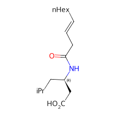 CCCCCCC=CCC(=O)N[C@@H](CC(=O)O)CC(C)C